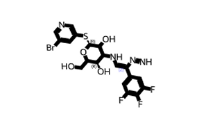 N=N/C(=C\NC1C(O)[C@@H](Sc2cncc(Br)c2)OC(CO)[C@@H]1O)c1cc(F)c(F)c(F)c1